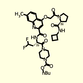 CCCCOC(=O)N1CCN(C(=O)[C@H](CC(F)F)NC(=O)c2cc(OCC(=O)N3CCC[C@H]3C(=O)NC3CCC3)c3ccc(C)cc3n2)CC1